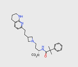 CC(C)(C(=O)N[C@@H](CCN1CC(CCc2ccc3c(n2)NCCC3)C1)C(=O)O)c1ccccc1